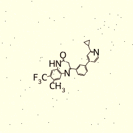 Cc1cc2c(cc1C(F)(F)F)NC(=O)CC(c1cccc(-c3ccnc(C4CC4)c3)c1)=N2